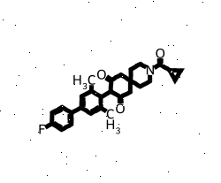 CC1=CC(c2ccc(F)cc2)=CC(C)C1C1C(=O)CC2(CCN(C(=O)C3CC3)CC2)CC1=O